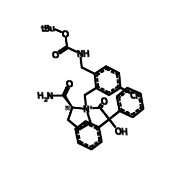 CC(C)(C)OC(=O)NCc1ccc(Cl)cc1C[N+]1(C(=O)C(O)(c2ccccc2)c2ccccc2)CCC[C@H]1C(N)=O